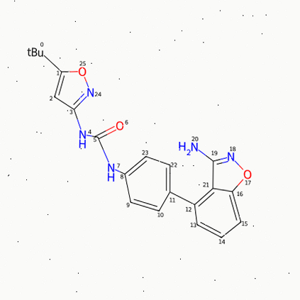 CC(C)(C)c1cc(NC(=O)Nc2ccc(-c3cccc4onc(N)c34)cc2)no1